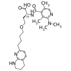 Cc1cnc(N(C)C)c(C)c1C(=O)N[C@@H](CCOCCCCc1ccc2c(n1)NCCC2)C(=O)O